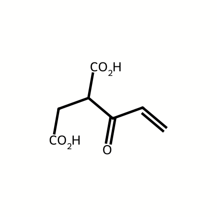 C=CC(=O)C(CC(=O)O)C(=O)O